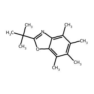 Cc1c(C)c(C)c2oc(C(C)(C)C)nc2c1C